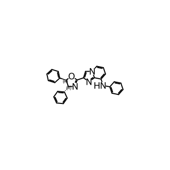 c1ccc(Nc2cccn3cc(C4=N[C@H](c5ccccc5)[C@@H](c5ccccc5)O4)nc23)cc1